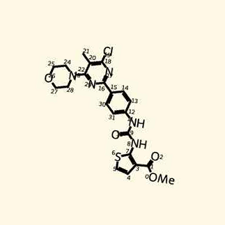 COC(=O)c1ccsc1NC(=O)Nc1ccc(-c2nc(Cl)c(C)c(N3CCOCC3)n2)cc1